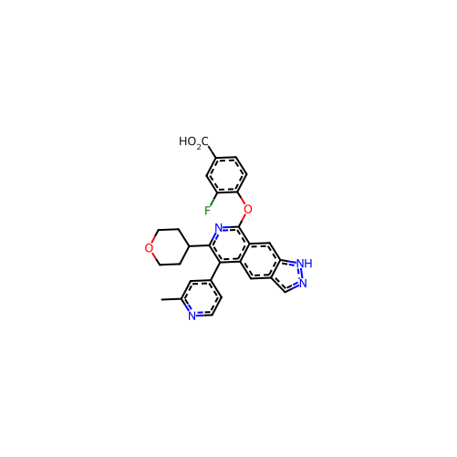 Cc1cc(-c2c(C3CCOCC3)nc(Oc3ccc(C(=O)O)cc3F)c3cc4[nH]ncc4cc23)ccn1